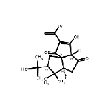 CC(C)C(=O)C1=C(O)[C@]2(O)C(=O)C[C@H]3C(C)(C)[C@@H](C(C)(C)O)C[C@]32C1=O